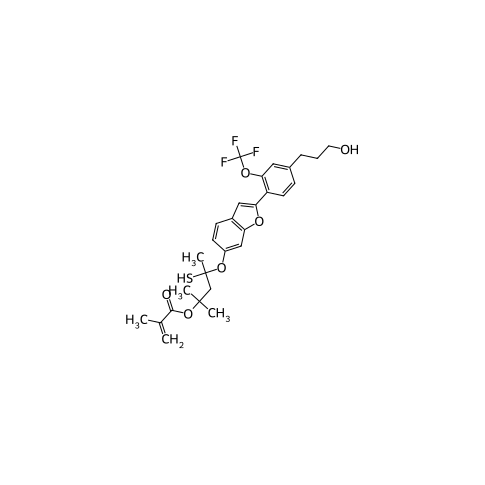 C=C(C)C(=O)OC(C)(C)CC(C)(S)Oc1ccc2cc(-c3ccc(CCCO)cc3OC(F)(F)F)oc2c1